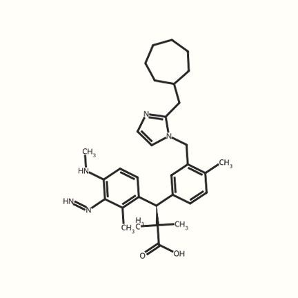 CNc1ccc([C@@H](c2ccc(C)c(Cn3ccnc3CC3CCCCCC3)c2)C(C)(C)C(=O)O)c(C)c1N=N